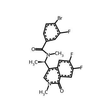 C[C@H](c1cn(C)c(=O)c2cc(F)c(F)cc12)N(C)C(=O)c1ccc(Br)c(F)c1